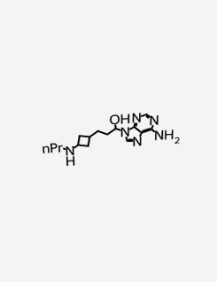 CCCNC1CC(CCC(O)n2cnc3c(N)ncnc32)C1